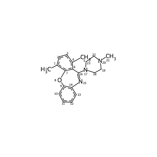 Cc1ccc(C)c2c1Oc1ccccc1N=C2N1CCN(C)CC1